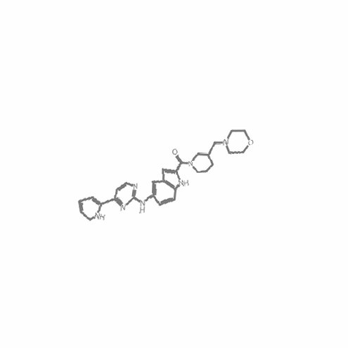 O=C(c1cc2cc(Nc3nccc(C4=CC=CCN4)n3)ccc2[nH]1)N1CCCC(CN2CCOCC2)C1